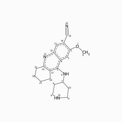 COc1cc2c(NC3CCNCC3)c3c(nc2cc1C#N)CCCC3